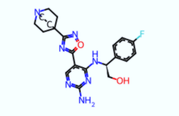 Nc1ncc(-c2nc(C34CCN(CC3)CC4)no2)c(N[C@H](CO)c2ccc(F)cc2)n1